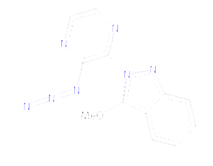 COc1c2ccccc2nn1-c1nccnc1N=[N+]=[N-]